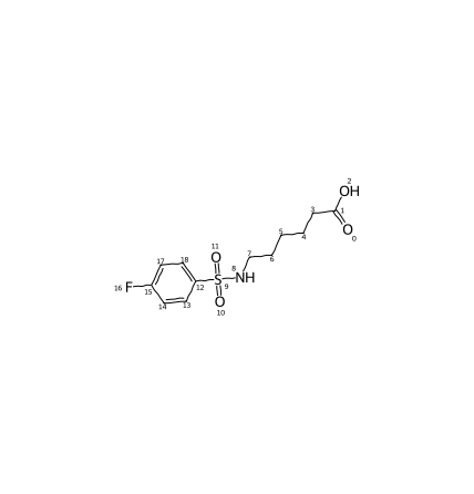 O=C(O)CCCCCNS(=O)(=O)c1ccc(F)cc1